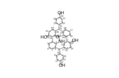 O=C(Nc1ccccc1C(c1ccc(O)cc1)c1ccc(O)cc1)c1ccccc1C(c1ccc(O)cc1)c1ccc(O)cc1